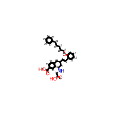 O=C(O)CNCCC(C=Cc1ccccc1OCCCCCc1ccccc1)Cc1ccc(C(=O)O)cc1